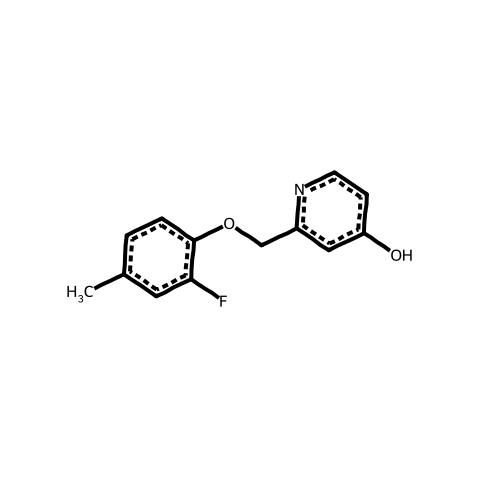 Cc1ccc(OCc2cc(O)ccn2)c(F)c1